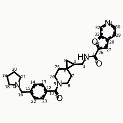 O=C(NCC1CC12CCN(C(=O)c1ccc(CN3CCCC3)cc1)CC2)c1cc2ccncc2o1